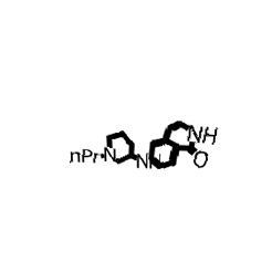 CCCN1CCCC(Nc2ccc3c(=O)[nH]ccc3c2)C1